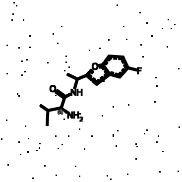 CC(NC(=O)[C@@H](N)C(C)C)c1cc2cc(F)ccc2o1